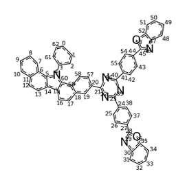 c1ccc(-n2c3c4ccccc4ccc3c3ccc4cc(-c5nc(-c6ccc(-c7nc8ccccc8o7)cc6)nc(-c6ccc(-c7nc8ccccc8o7)cc6)n5)ccc4c32)cc1